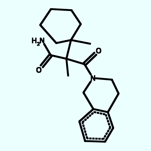 CC1(C(C)(C(N)=O)C(=O)N2CCc3ccccc3C2)CCCCC1